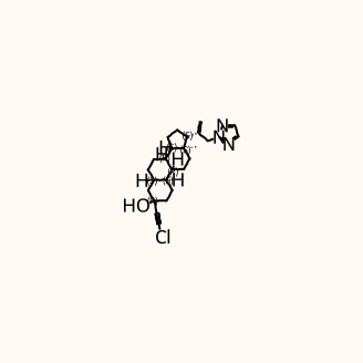 C=C(Cn1nccn1)[C@H]1CC[C@H]2[C@@H]3CC[C@H]4C[C@@](O)(C#CCl)CC[C@@H]4[C@H]3CC[C@]12C